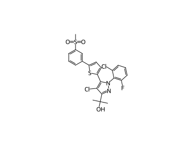 CC(C)(O)c1nn(-c2c(F)cccc2Cl)c(-c2ccc(-c3cccc(S(C)(=O)=O)c3)s2)c1Cl